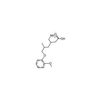 COc1ccccc1OCC(C)CC(CN)CC(=O)O